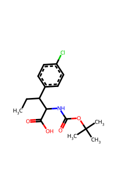 CCC(c1ccc(Cl)cc1)C(NC(=O)OC(C)(C)C)C(=O)O